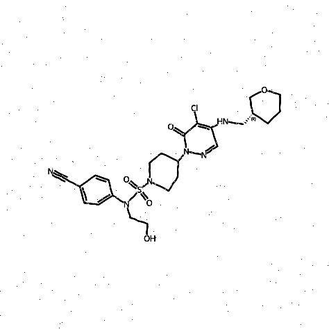 N#Cc1ccc(N(CCO)S(=O)(=O)N2CCC(n3ncc(NC[C@H]4CCCOC4)c(Cl)c3=O)CC2)cc1